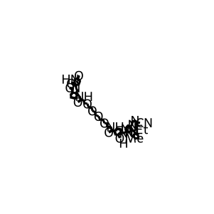 CC[C@@H]1c2c(C#N)ncn2-c2cnc(Nc3ccc(C(=O)NCCOCCOCCOCCOCCC(=O)Nc4cccc5c4CN(C4CCC(=O)NC4=O)C5=O)cc3OC)nc2N1C1CCCC1